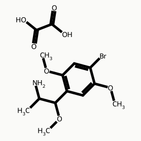 COc1cc(C(OC)C(C)N)c(OC)cc1Br.O=C(O)C(=O)O